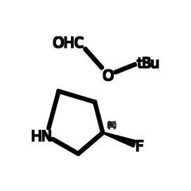 CC(C)(C)OC=O.F[C@@H]1CCNC1